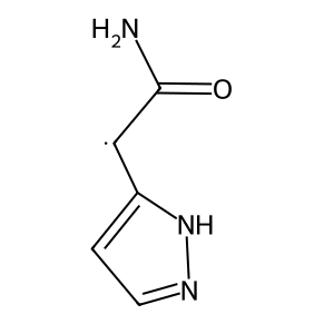 NC(=O)[CH]c1ccn[nH]1